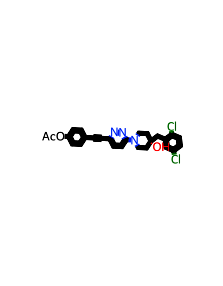 CC(=O)Oc1ccc(C#Cc2ccc(N3CCC(O)(Cc4cc(Cl)ccc4Cl)CC3)nn2)cc1